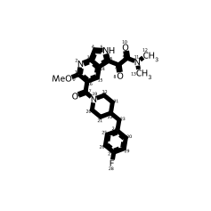 COc1nc2c[nH]c(C(=O)C(=O)N(C)C)c2cc1C(=O)N1CCC(Cc2ccc(F)cc2)CC1